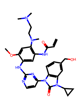 C=CC(=O)Nc1cc(Nc2nccc(-n3c(=O)n(C4CC4)c4cc(CO)ccc43)n2)c(OC)cc1N(C)CCN(C)C